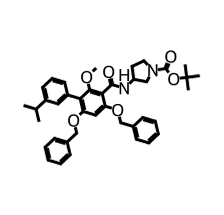 COc1c(C(=O)NC2CCN(C(=O)OC(C)(C)C)C2)c(OCc2ccccc2)cc(OCc2ccccc2)c1-c1cccc(C(C)C)c1